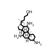 C[C@H](CCCO)[C@H]1CC[C@H]2[C@@H]3[C@H](N)C[C@@H]4C[C@H](N)CC[C@]4(C)[C@H]3C[C@H](N)[C@]12C